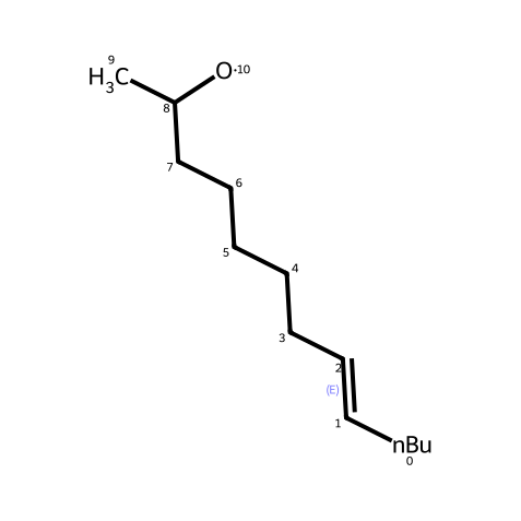 CCCC/C=C/CCCCCC(C)[O]